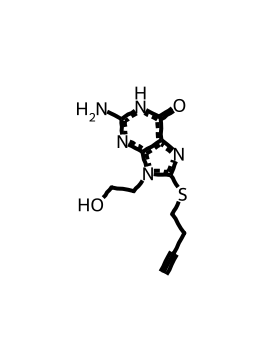 C#CCCSc1nc2c(=O)[nH]c(N)nc2n1CCO